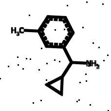 Cc1cccc(C(N)C2CC2)c1